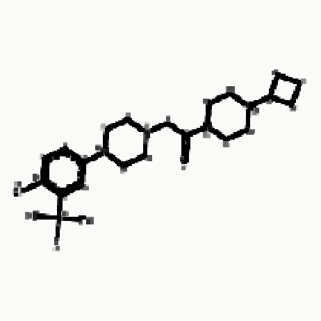 O=C(CN1CCN(c2ccc(Cl)c(C(F)(F)F)c2)CC1)N1CCN(C2CCC2)CC1